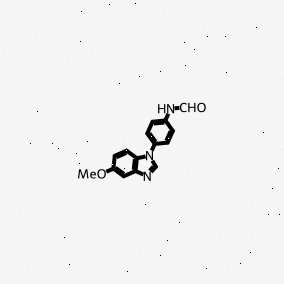 COc1ccc2c(c1)ncn2-c1ccc(NC=O)cc1